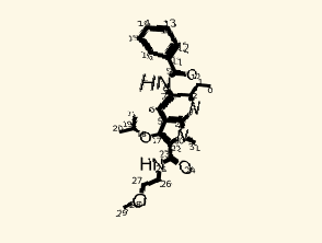 CCc1nc2c(cc1NC(=O)c1ccccc1)c(OC(C)C)c(C(=O)NCCOC)n2C